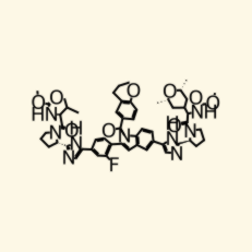 COC(=O)NC(C(=O)N1CCC[C@H]1c1ncc(-c2ccc3c(c2)cc2n3C(c3ccc4c(c3)CCCO4)Oc3cc(-c4cnc([C@@H]5CCCN5C(=O)[C@@H](NC(=O)OC)C(C)C)[nH]4)cc(F)c3-2)[nH]1)C1C[C@@H](C)O[C@@H](C)C1